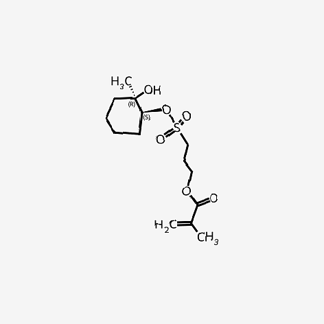 C=C(C)C(=O)OCCCS(=O)(=O)O[C@H]1CCCC[C@@]1(C)O